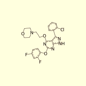 Fc1ccc(Oc2nc(OCCN3CCOCC3)c3c(-c4ccccc4Cl)n[nH]c3n2)c(F)c1